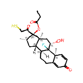 CCC(=O)O[C@]1(C(=O)CS)[C@@H](C)C[C@H]2[C@@H]3CCC4=CC(=O)C=C[C@]4(C)C3(F)[C@@H](O)C[C@@]21C